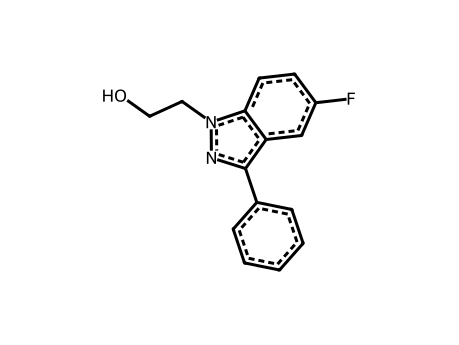 OCCn1nc(-c2ccccc2)c2cc(F)ccc21